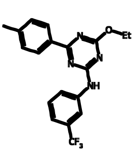 CCOc1nc(Nc2cccc(C(F)(F)F)c2)nc(-c2ccc(C)cc2)n1